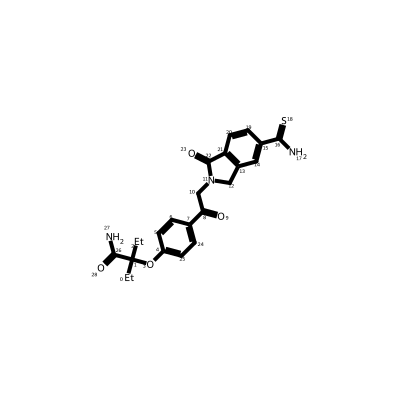 CCC(CC)(Oc1ccc(C(=O)CN2Cc3cc(C(N)=S)ccc3C2=O)cc1)C(N)=O